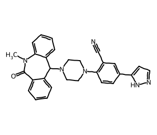 CN1C(=O)c2ccccc2C(N2CCN(c3ccc(-c4ccn[nH]4)cc3C#N)CC2)c2ccccc21